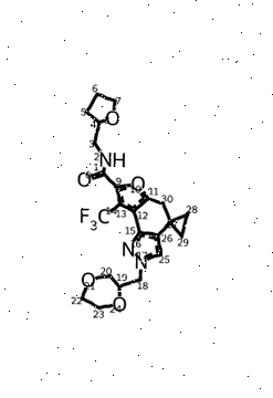 O=C(NCC1CCCO1)c1oc2c(c1C(F)(F)F)-c1nn(CC3COCCO3)cc1C1(CC1)C2